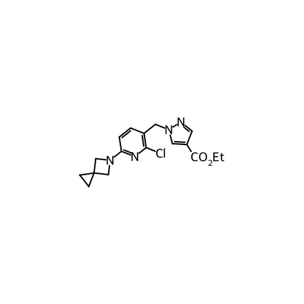 CCOC(=O)c1cnn(Cc2ccc(N3CC4(CC4)C3)nc2Cl)c1